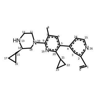 C=Cc1cc(-c2cc(C)c(N3CCN[C@H](C4CC4)C3)nc2C2CC2)ccn1